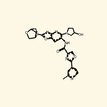 Cc1cc(-c2nc(C(=O)Nc3cc4oc(N5CC6CC5CO6)nc4nc3N3CCC(O)C3)co2)ccn1